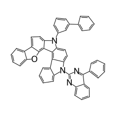 c1ccc(-c2cccc(-n3c4ccc5c6ccccc6oc5c4c4c5c6ccccc6n(-c6nc(-c7ccccc7)c7ccccc7n6)c5ccc43)c2)cc1